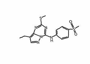 CCc1cnn2c(Nc3ccc(S(C)(=O)=O)cc3)nc(SC)nc12